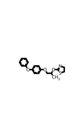 CC(COc1ccc(Oc2ccccc2)cc1)OC1=NCCS1